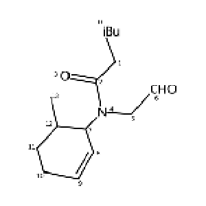 CCC(C)CC(=O)N(CC=O)C1C=CCCC1C